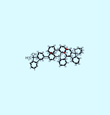 CC1(C)c2ccccc2-c2cc(-c3ccc(N(c4ccccc4-c4ccccc4)c4ccccc4-c4cccc5c4-c4ccccc4C54CC5CCC4C5)cc3)ccc21